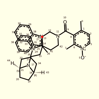 Cc1cc[n+]([O-])c(C)c1C(=O)N1CCC(CCN2[C@@H]3CC[C@H]2CC(n2c(C)nc4ccccc42)C3)(c2ccccc2)CC1